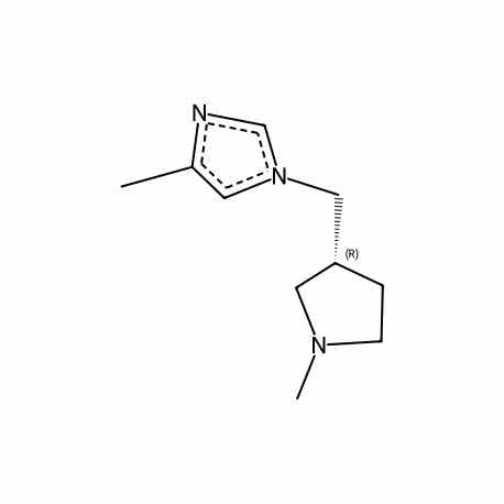 Cc1cn(C[C@@H]2CCN(C)C2)cn1